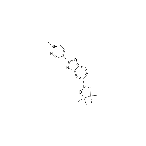 C/C=C(\C=N/NC)c1nc2cc(B3OC(C)(C)C(C)(C)O3)ccc2o1